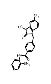 Cn1c(=O)n(Cc2ccc(C(=O)Nc3ccccc3N)cc2)c2ccc(C(F)(F)F)cc21